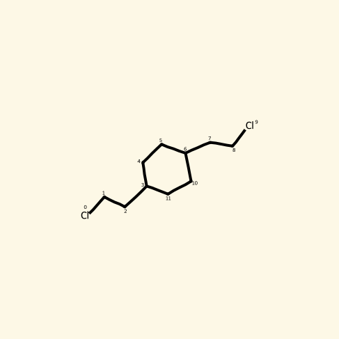 ClCCC1CCC(CCCl)CC1